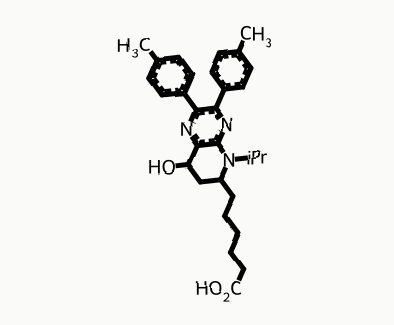 Cc1ccc(-c2nc3c(nc2-c2ccc(C)cc2)N(C(C)C)C(CCCCCC(=O)O)CC3O)cc1